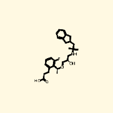 C[C@H](OC[C@H](O)CNC(C)(C)CC1Cc2ccccc2C1)c1c(F)cccc1CCC(=O)O